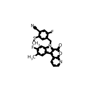 CSc1cc(Cn2c3cc(F)c(C)cc3c3c4cccnc4oc(=O)c32)c(F)cc1C#N